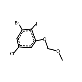 COCOc1cc(Cl)cc(Br)c1I